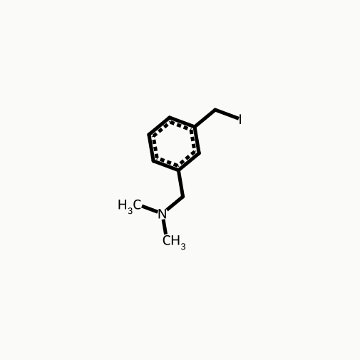 CN(C)Cc1cccc(CI)c1